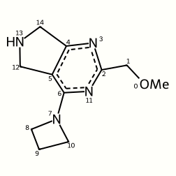 COCc1nc2c(c(N3CCC3)n1)CNC2